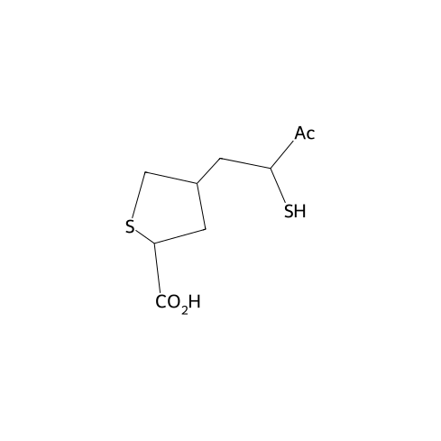 CC(=O)C(S)CC1CSC(C(=O)O)C1